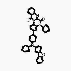 O=c1c2nc3ccccc3c(=O)n2c2ccc(-c3ccc(N(c4ccccc4)c4ccc5oc6ccccc6c5c4)cc3)cc2n1-c1ccccc1